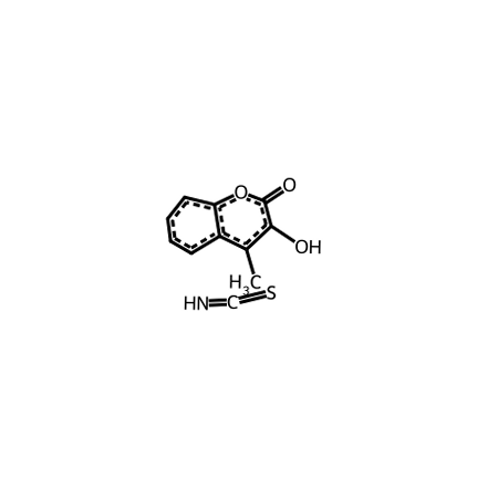 Cc1c(O)c(=O)oc2ccccc12.N=C=S